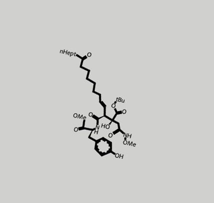 CCCCCCCC(=O)CCCCCC/C=C/[C@H](C(=O)N[C@@H](Cc1ccc(O)cc1)C(=O)OC)[C@@](O)(CC(=O)NOC)C(=O)OC(C)(C)C